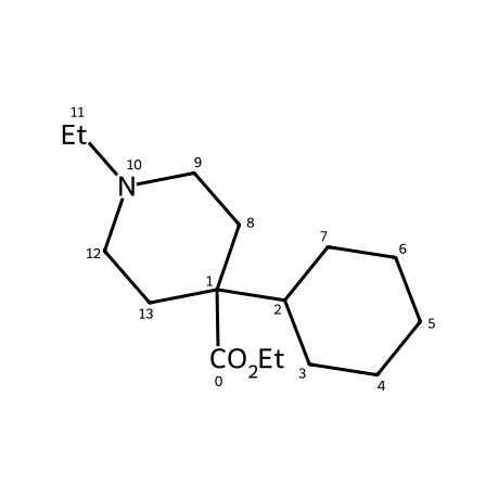 CCOC(=O)C1(C2CCCCC2)CCN(CC)CC1